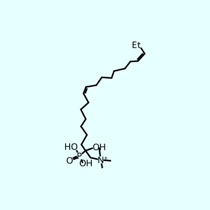 CC/C=C\CCCCCC/C=C\CCCCCCC(O)(C[N+](C)(C)C)P(=O)(O)O